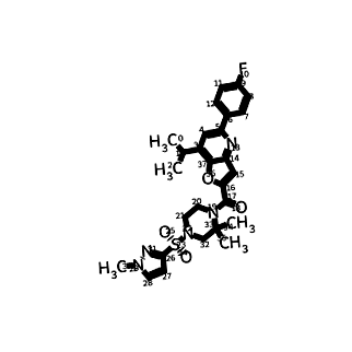 CC(C)c1cc(-c2ccc(F)cc2)nc2cc(C(=O)N3CCN(S(=O)(=O)c4ccn(C)n4)CC3(C)C)oc12